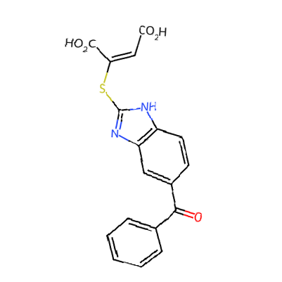 O=C(O)C=C(Sc1nc2cc(C(=O)c3ccccc3)ccc2[nH]1)C(=O)O